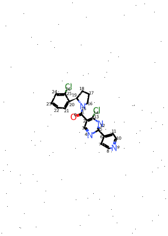 O=C(c1cnc(-c2ccncc2)nc1Cl)N1CCC[C@@H]1c1ccccc1Cl